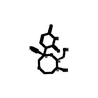 N#C[C@]1(n2ccc(=O)[nH]c2=O)COCC[C@H](O)[C@@H](CO)O1